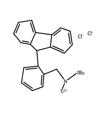 CC(C)(C)[N]([Ti+2])Cc1ccccc1C1c2ccccc2-c2ccccc21.[Cl-].[Cl-]